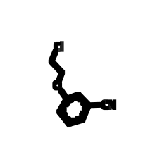 N#Cc1cccc(OCCCl)c1